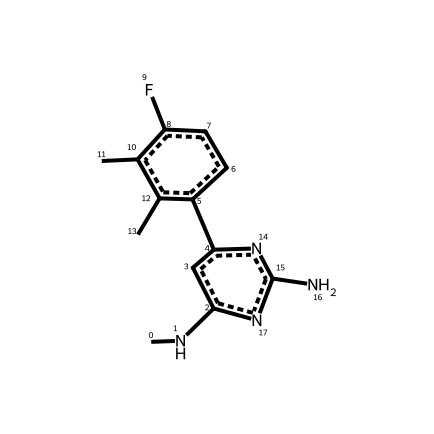 CNc1cc(-c2ccc(F)c(C)c2C)nc(N)n1